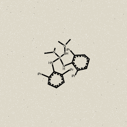 CC(C)c1cccc(C(C)C)c1N[B-](BN(C)C)(Nc1c(C(C)C)cccc1C(C)C)N(C)C